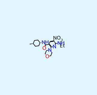 CCNc1nc(N2CCOCC2)c(C(=O)N[C@H]2CC[C@H](C)CC2)cc1[N+](=O)[O-]